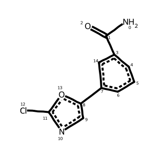 NC(=O)c1cccc(-c2cnc(Cl)o2)c1